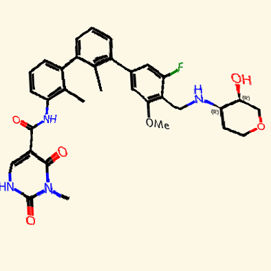 COc1cc(-c2cccc(-c3cccc(NC(=O)c4c[nH]c(=O)n(C)c4=O)c3C)c2C)cc(F)c1CN[C@@H]1CCOC[C@@H]1O